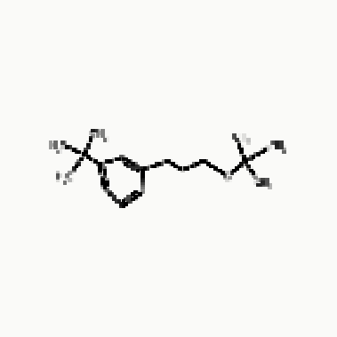 CC(C)(C)OCCCc1cccc(C(C)(C)C)c1